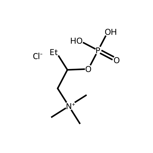 CCC(C[N+](C)(C)C)OP(=O)(O)O.[Cl-]